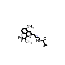 C=C(c1nc(/C=C/CNC(=O)C2CC2)cc2c(N)cccc12)C(F)(F)F